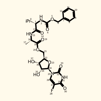 CC(C)[C@H](NC(=O)OCc1ccccc1)C(=O)N[C@@H](C)C(=O)OC[C@H]1O[C@@H](n2cc(F)c(=O)[nH]c2=O)[C@H](O)[C@@H]1O